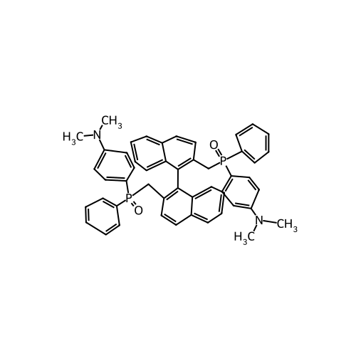 CN(C)c1ccc(P(=O)(Cc2ccc3ccccc3c2-c2c(CP(=O)(c3ccccc3)c3ccc(N(C)C)cc3)ccc3ccccc23)c2ccccc2)cc1